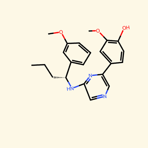 CCC[C@@H](Nc1cncc(-c2ccc(O)c(OC)c2)n1)c1cccc(OC)c1